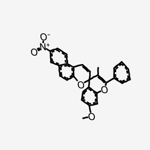 COc1ccc2c(c1)OC(c1ccccc1)=C(C)C21C=Cc2c(ccc3cc([N+](=O)[O-])ccc23)O1